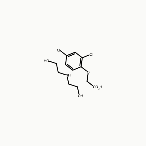 O=C(O)COc1ccc(Cl)cc1Cl.OCCNCCO